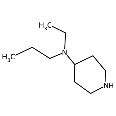 CCCN(CC)C1CCNCC1